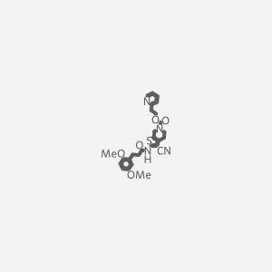 COc1ccc(OC)c(CCC(=O)Nc2sc3c(c2C#N)CCN(C(=O)OCCc2ccccn2)C3)c1